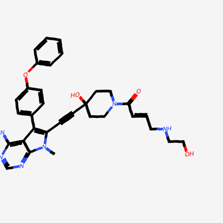 Cn1c(C#CC2(O)CCN(C(=O)/C=C/CNCCO)CC2)c(-c2ccc(Oc3ccccc3)cc2)c2c(N)ncnc21